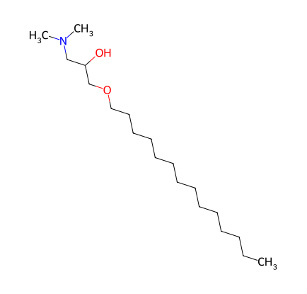 CCCCCCCCCCCCCCOCC(O)CN(C)C